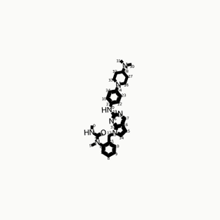 CNC(=O)N(C)c1ccccc1Cn1ccc2cnc(Nc3ccc(N4CCC(N(C)C)CC4)cc3)nc21